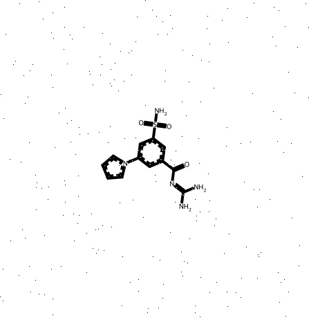 NC(N)=NC(=O)c1cc(-n2cccc2)cc(S(N)(=O)=O)c1